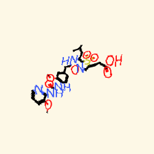 COc1cc(CC(=O)NC(CC(C)C)C2=NCC(CCC(=O)O)S2(=O)=O)ccc1NC(=O)Nc1ncccc1OC